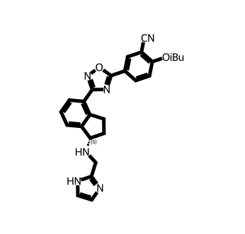 CC(C)COc1ccc(-c2nc(-c3cccc4c3CC[C@@H]4NCc3ncc[nH]3)no2)cc1C#N